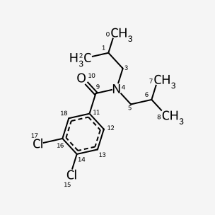 CC(C)CN(CC(C)C)C(=O)c1ccc(Cl)c(Cl)c1